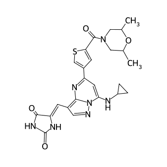 CC1CN(C(=O)c2cc(-c3cc(NC4CC4)n4ncc(C=C5NC(=O)NC5=O)c4n3)cs2)CC(C)O1